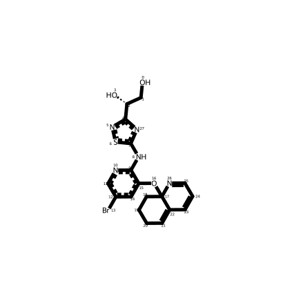 OC[C@@H](O)c1nsc(Nc2ncc(Br)cc2OC23CCCC=C2C=CC=N3)n1